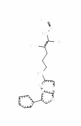 C=NN/C(C)=C(\C)CCCNc1ccc2ncc(-c3ccccc3)n2n1